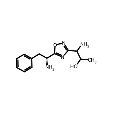 CC(O)C(N)c1noc([C@@H](N)Cc2ccccc2)n1